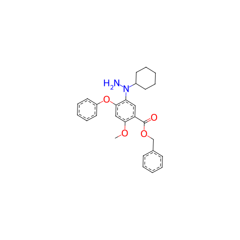 COc1cc(Oc2ccccc2)c(N(N)C2CCCCC2)cc1C(=O)OCc1ccccc1